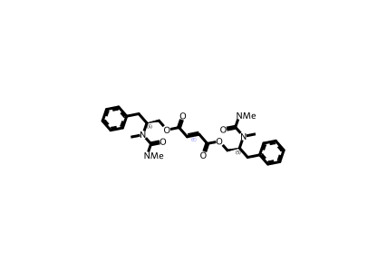 CNC(=O)N(C)[C@H](COC(=O)/C=C/C(=O)OC[C@H](Cc1ccccc1)N(C)C(=O)NC)Cc1ccccc1